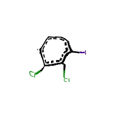 Clc1[c]ccc(I)c1Cl